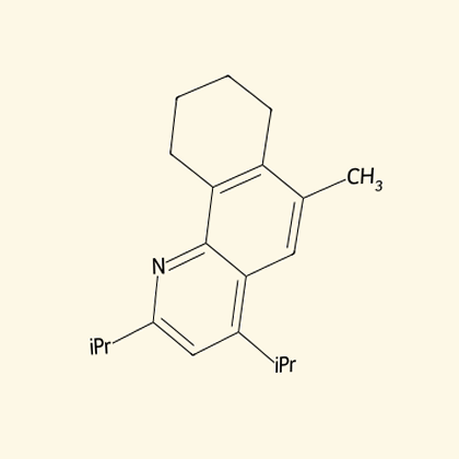 Cc1cc2c(C(C)C)cc(C(C)C)nc2c2c1CCCC2